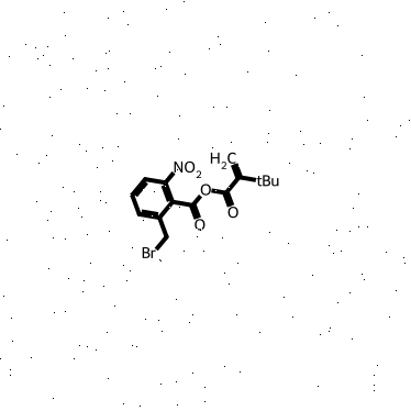 C=C(C(=O)OC(=O)c1c(CBr)cccc1[N+](=O)[O-])C(C)(C)C